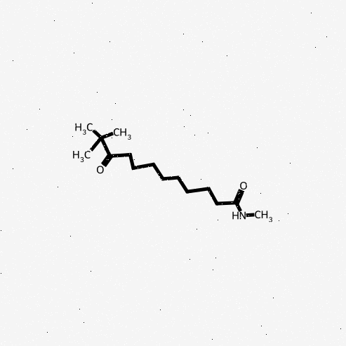 CNC(=O)CCCCCCCCC(=O)C(C)(C)C